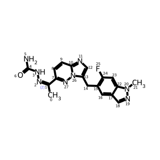 C/C(=N/NC(N)=O)c1ccc2ncc(Cc3cc4cnn(C)c4cc3F)n2n1